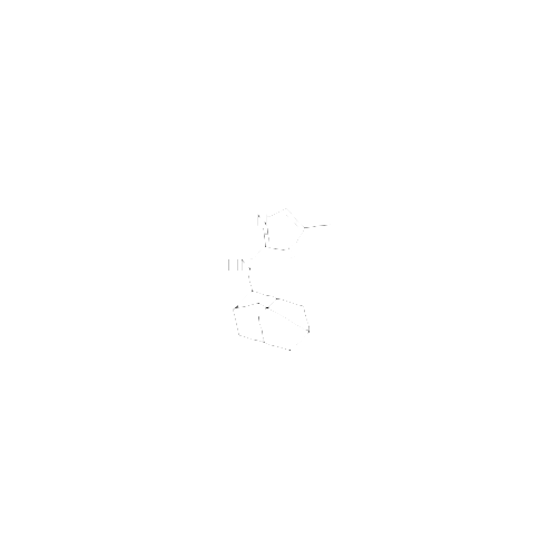 Cc1cnc(NC2C3CC4CC(C3)CC2C4)s1